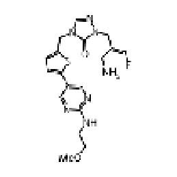 COCCNc1ncc(-c2ccc(Cn3cnn(C/C(=C/F)CN)c3=O)s2)cn1